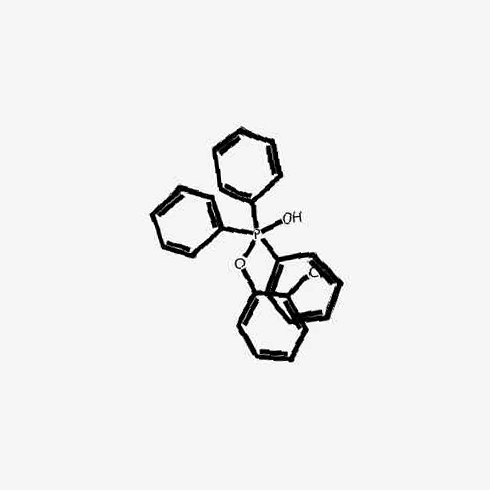 OP(Oc1ccccc1C(F)(F)F)(c1ccccc1)(c1ccccc1)c1ccccc1